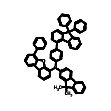 CC1(C)c2ccccc2-c2ccc(N(c3ccc(-c4cccc5c4-c4ccccc4C5(c4ccccc4)c4ccccc4)cc3)c3cccc4c3oc3c(-c5ccccc5)cccc34)cc21